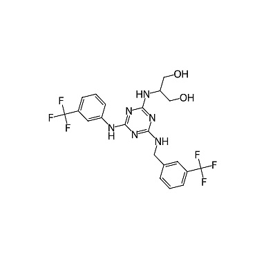 OCC(CO)Nc1nc(NCc2cccc(C(F)(F)F)c2)nc(Nc2cccc(C(F)(F)F)c2)n1